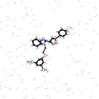 Cc1cc(C)cc(OCCn2c(-c3cc(-c4ccc(F)cc4)on3)nc3ccccc32)c1